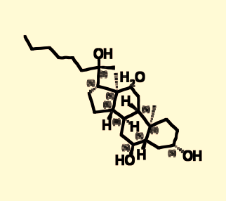 CCCCCC[C@](C)(O)[C@H]1CC[C@H]2[C@@H]3C[C@H](O)[C@H]4C[C@@H](O)CC[C@]4(C)[C@H]3CC[C@@]21C.O